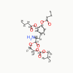 CCCC(=O)Oc1ccc(C[C@H](N)C(=O)O[C@@H](C)C(C)OC(=O)OC(C)C(C)C)cc1OC(=O)CCC